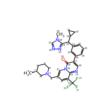 C[C@H]1CCCN(Cc2cc(C(F)(F)F)c3ncc(-c4cccc(C(c5nncn5C)C5CC5)c4)c(=O)n3c2)C1